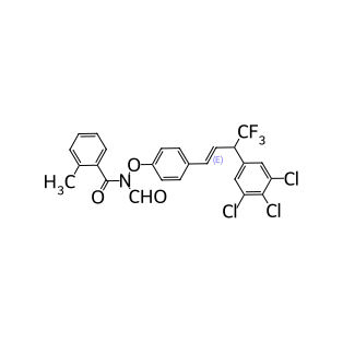 Cc1ccccc1C(=O)N(C=O)Oc1ccc(/C=C/C(c2cc(Cl)c(Cl)c(Cl)c2)C(F)(F)F)cc1